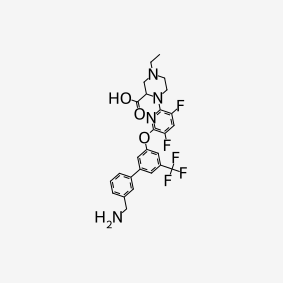 CCN1CCN(c2nc(Oc3cc(-c4cccc(CN)c4)cc(C(F)(F)F)c3)c(F)cc2F)C(C(=O)O)C1